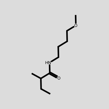 CCC(C)C(=O)NCCCCOC